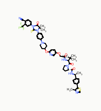 Cc1ncsc1-c1ccc([C@H](C)NC(=O)[C@@H]2CCCN2C(=O)C(NC(=O)COc2ccc(OC3CCN(c4ccc(N5C(=S)N(c6ccc(C#N)c(C(F)(F)F)c6)C(=O)C5(C)C)cc4)CC3)nc2)C(C)(C)C)cc1